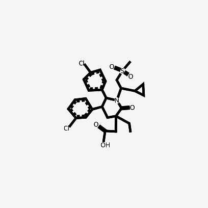 CCC1(CC(=O)O)CC(c2cccc(Cl)c2)C(c2ccc(Cl)cc2)N(C(CS(C)(=O)=O)C2CC2)C1=O